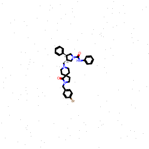 O=C(Nc1ccccc1)N1C[C@H](CN2CCC3(CC2)CCN(Cc2ccc(Br)cc2)C3=O)[C@@H](c2ccccc2)C1